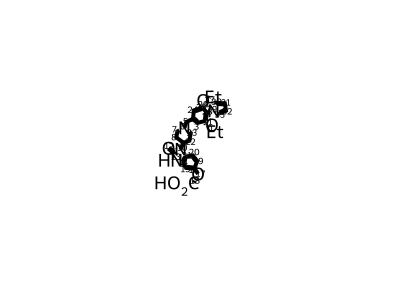 CCOc1cc(CN2CCC(n3c(=O)[nH]c4cc(OC(=O)O)ccc43)CC2)cc(OCC)c1-n1cccc1